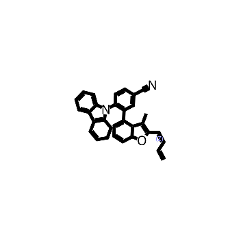 C=C/C=C\C1=C(C)C2C(c3cc(C#N)ccc3-n3c4c(c5ccccc53)C=CCC4)=CC=CC2O1